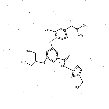 CCC(CO)Oc1cc(Oc2ccc(C(=O)N(C)C)cc2Cl)cc(C(=O)Nc2ccn(CC)n2)c1